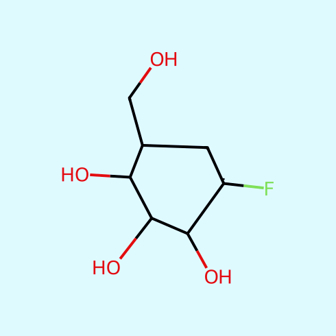 OCC1C[C](F)C(O)C(O)C1O